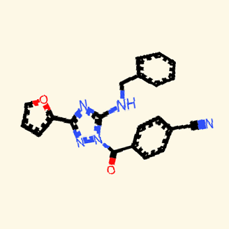 N#Cc1ccc(C(=O)n2nc(-c3ccco3)nc2NCc2ccccc2)cc1